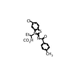 CCC(C(=O)O)n1c(=NC(=O)c2ccc(C)cc2)sc2ccc(Cl)cc21